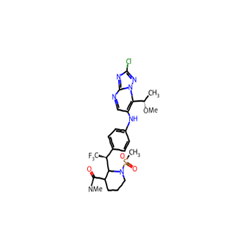 CNC(=O)C1CCCN(S(C)(=O)=O)C1[C@H](c1ccc(Nc2cnc3nc(Cl)nn3c2[C@H](C)OC)cc1)C(F)(F)F